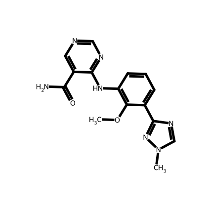 COc1c(Nc2ncncc2C(N)=O)cccc1-c1ncn(C)n1